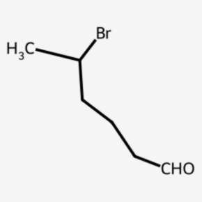 CC(Br)CCCC=O